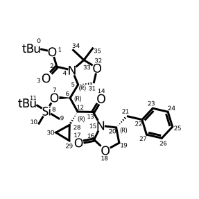 CC(C)(C)OC(=O)N1[C@@H]([C@H](O[Si](C)(C)C(C)(C)C)[C@H](C(=O)N2C(=O)OC[C@H]2Cc2ccccc2)C2CC2)COC1(C)C